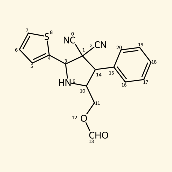 N#CC1(C#N)C(c2cccs2)NC(COC=O)C1c1ccccc1